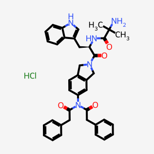 CC(C)(N)C(=O)N[C@H](Cc1c[nH]c2ccccc12)C(=O)N1Cc2ccc(N(C(=O)Cc3ccccc3)C(=O)Cc3ccccc3)cc2C1.Cl